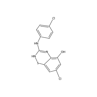 Oc1cc(Cl)cc2c1N=C(Nc1ccc(Cl)cc1)NS2